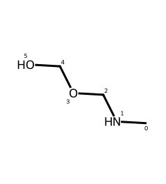 CNCOCO